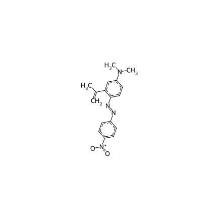 C=C(C)c1cc(N(C)C)ccc1N=Nc1ccc([N+](=O)[O-])cc1